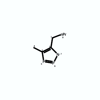 CCCCC1=C(C)P=P[N]1